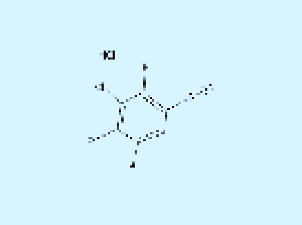 Cl.N#[N+]c1cc(F)c(F)c(Cl)c1F